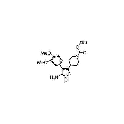 COc1ccc(-c2c(C3CCN(C(=O)OC(C)(C)C)CC3)n[nH]c2N)cc1OC